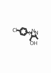 Cc1nnn(-c2ccc(Cl)cc2)c1CO